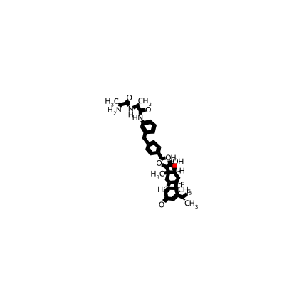 C[C@H](N)C(=O)N[C@@H](C)C(=O)Nc1cccc(Cc2ccc(C3O[C@@H]4C[C@H]5C[C@@](F)(C6(C)C=CC(=O)C=C6[C@H](C)F)C(O)CC5(C)[C@]4(C(=O)O)O3)cc2)c1